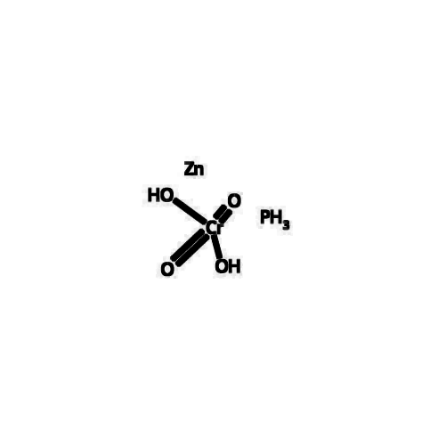 P.[O]=[Cr](=[O])([OH])[OH].[Zn]